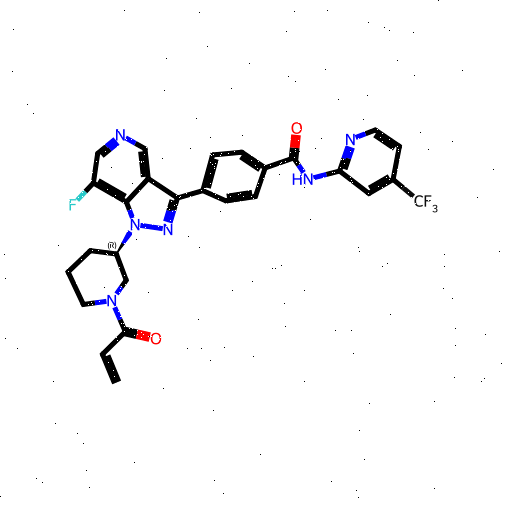 C=CC(=O)N1CCC[C@@H](n2nc(-c3ccc(C(=O)Nc4cc(C(F)(F)F)ccn4)cc3)c3cncc(F)c32)C1